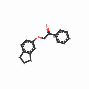 O=C(COc1ccc2c(c1)CCC2)c1ccccc1